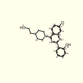 OCCC1CCN(c2nc(-c3ccccc3O)nc3cc(Cl)ccc23)CC1